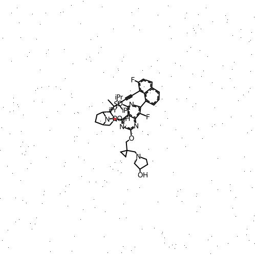 CC1Oc2nc(-c3cccc4ccc(F)c(C#C[Si](C(C)C)(C(C)C)C(C)C)c34)c(F)c3nc(OCC4(CN5CCC(O)C5)CC4)nc(c23)N2CC3CCC(C12)N3C(=O)O